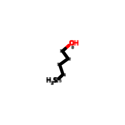 OCCCC[SiH3]